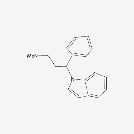 CNCCC(c1ccccc1)n1ccc2ccccc21